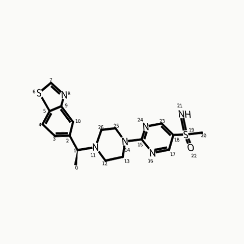 C[C@@H](c1ccc2scnc2c1)N1CCN(c2ncc(S(C)(=N)=O)cn2)CC1